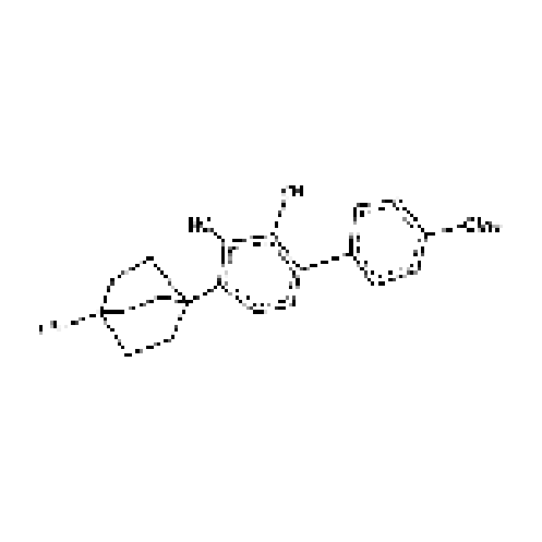 CCCC12CCC(c3ccc(-c4ccc(OC)cc4)c(C#N)c3C#N)(CC1)CC2